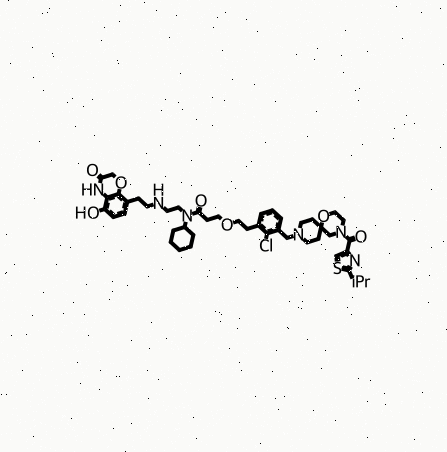 CC(C)c1nc(C(=O)N2CCOC3(CCN(Cc4cccc(CCOCCC(=O)N(CCNCCc5ccc(O)c6c5OCC(=O)N6)C5CCCCC5)c4Cl)CC3)C2)cs1